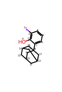 Oc1c(I)c[c]cc1C12CC3CC(CC(C3)C1)C2